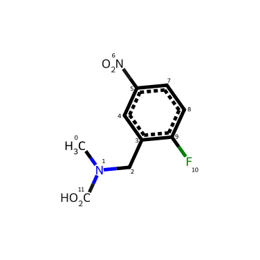 CN(Cc1cc([N+](=O)[O-])ccc1F)C(=O)O